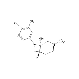 Cc1cc(N2C[C@H]3CCN(C(=O)O)C[C@@]32C(C)(C)C)cnc1Cl